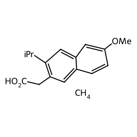 C.COc1ccc2cc(CC(=O)O)c(C(C)C)cc2c1